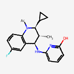 CC(=O)N1c2ccc(F)cc2[C@H](Nc2cccc(O)n2)[C@@H](C)[C@@H]1C1CC1